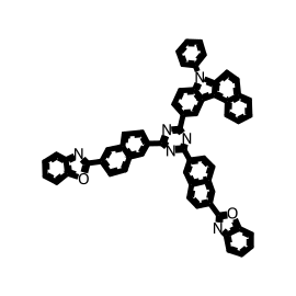 c1ccc(-n2c3ccc(-c4nc(-c5ccc6cc(-c7nc8ccccc8o7)ccc6c5)nc(-c5ccc6cc(-c7nc8ccccc8o7)ccc6c5)n4)cc3c3c4ccccc4ccc32)cc1